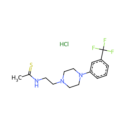 CC(=S)NCCN1CCN(c2cccc(C(F)(F)F)c2)CC1.Cl